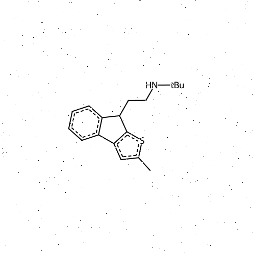 Cc1cc2c(s1)C(CCNC(C)(C)C)c1ccccc1-2